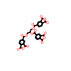 O=C(OCC(COC(=O)c1ccc2c(c1)C(=O)OC2=O)OC(=O)c1ccc2c(c1)C(=O)OC2=O)c1ccc2c(c1)C(=O)OC2=O